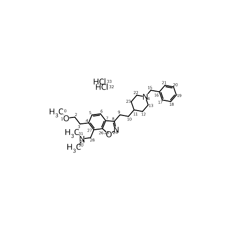 COCCc1ccc2c(CCC3CCN(Cc4ccccc4)CC3)noc2c1CN(C)C.Cl.Cl